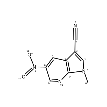 Cn1cc(C#N)c2cc([N+](=O)[O-])cnc21